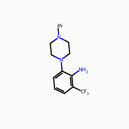 CC(C)N1CCN(c2cccc(C(F)(F)F)c2N)CC1